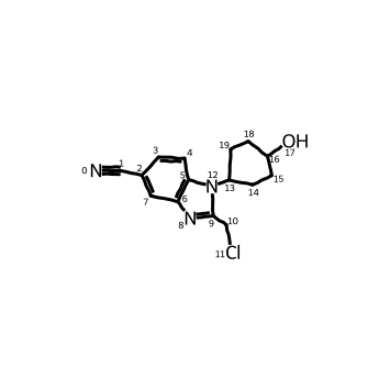 N#Cc1ccc2c(c1)nc(CCl)n2C1CCC(O)CC1